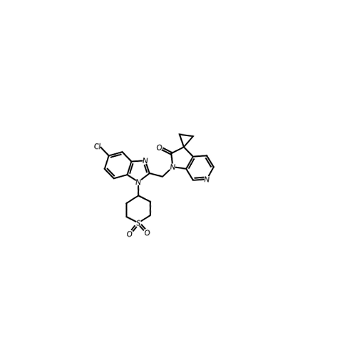 O=C1N(Cc2nc3cc(Cl)ccc3n2C2CCS(=O)(=O)CC2)c2cnccc2C12CC2